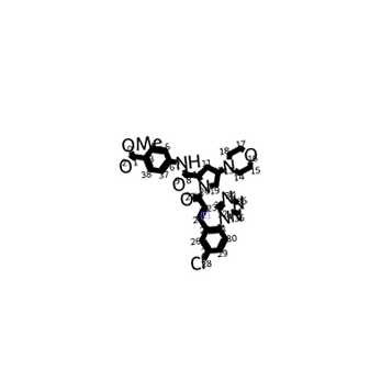 COC(=O)c1ccc(NC(=O)C2CC(N3CCOCC3)CN2C(=O)/C=C/c2cc(Cl)ccc2-n2cnnn2)cc1